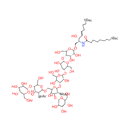 CCCCCCCCCCCCC/C=C/[C@@H](O)[C@H](CO[C@@H]1OC(CO)[C@@H](O[C@@H]2OC(CO)[C@H](O[C@@H]3OC(CO)[C@H](O)[C@H](O[C@@H]4OC(CO[C@@H]5OC(CO)[C@@H](O[C@@H]6OC(CO)[C@H](O)[C@H](O)C6O)[C@H](O)C5NC(C)=O)[C@H](O)[C@H](O[C@@H]5OC(CO)[C@H](O)[C@H](O)C5O)C4NC(C)=O)C3O)[C@H](O)C2O)[C@H](O)C1O)NC(=O)CCCCCCCCCCCCCCCCC